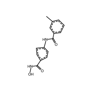 Cc1cccc(C(=O)Nc2ccc(C(=O)NO)cc2)c1